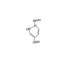 COC1=CNN(NC(C)=O)C=C1